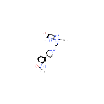 CCCCc1nc2cc(Br)c(C)nc2n1CCCN1CCC(c2cccc(NC(=O)C(C)C)c2)CC1